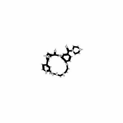 O=C1Nc2cc(C(=O)N3CCOCC3)ccc2OCCCCCNc2cc(ccn2)-c2nc1cs2